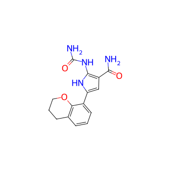 NC(=O)Nc1[nH]c(-c2cccc3c2OCCC3)cc1C(N)=O